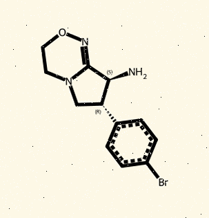 N[C@@H]1C2=NOCCN2C[C@H]1c1ccc(Br)cc1